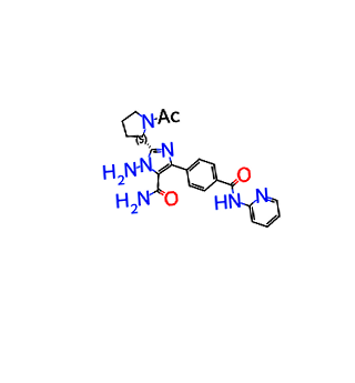 CC(=O)N1CCC[C@H]1c1nc(-c2ccc(C(=O)Nc3ccccn3)cc2)c(C(N)=O)n1N